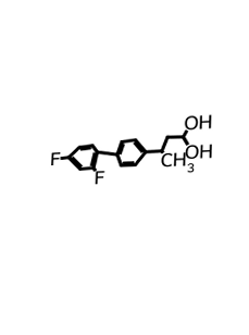 CC(CC(O)O)c1ccc(-c2ccc(F)cc2F)cc1